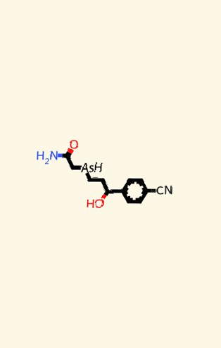 N#Cc1ccc(C(O)CC[AsH]CC(N)=O)cc1